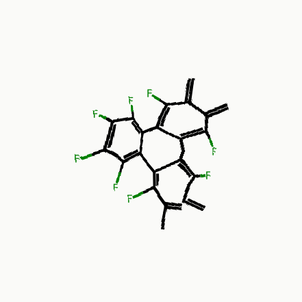 C=C/C(F)=c1\c(=C(\F)C(=C)C)c2c(F)c(F)c(F)c(F)c2c2c(F)c(=C)c(=C)c(F)c12